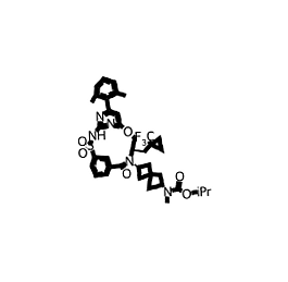 Cc1cccc(C)c1-c1cc2nc(n1)NS(=O)(=O)c1cccc(c1)C(=O)N([C@H]1CC3(C[C@H](N(C)C(=O)OC(C)C)C3)C1)[C@H](CC1(C(F)(F)F)CC1)CO2